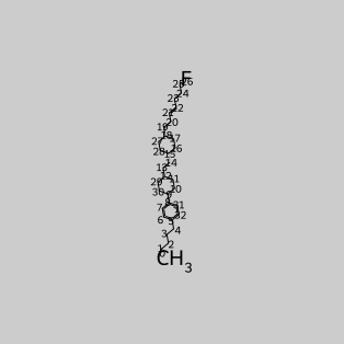 CCCCCc1ccc(C2CCC(CC[C@H]3CC[C@H](CC/C=C/CCCF)CC3)CC2)cc1